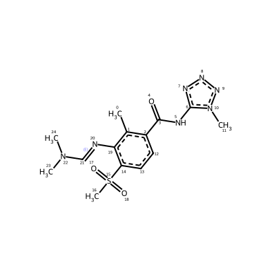 Cc1c(C(=O)Nc2nnnn2C)ccc(S(C)(=O)=O)c1/N=C/N(C)C